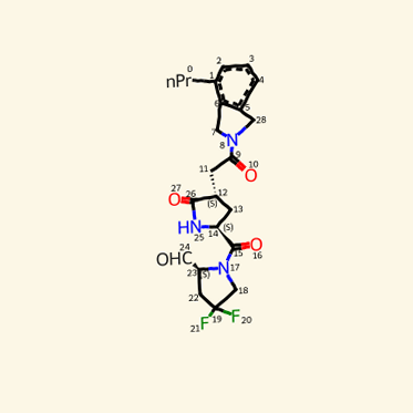 CCCc1cccc2c1CN(C(=O)C[C@@H]1C[C@@H](C(=O)N3CC(F)(F)C[C@H]3C=O)NC1=O)C2